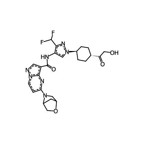 O=C(Nc1cn([C@H]2CC[C@H](C(=O)CO)CC2)nc1C(F)F)c1cnn2ccc(N3CC4CC3CO4)nc12